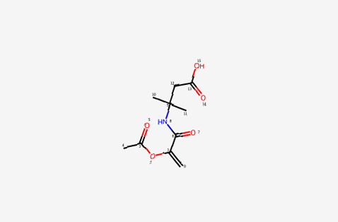 C=C(OC(C)=O)C(=O)NC(C)(C)CC(=O)O